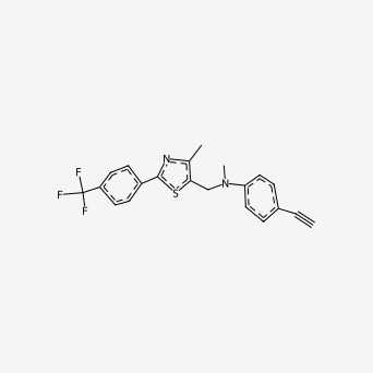 C#Cc1ccc(N(C)Cc2sc(-c3ccc(C(F)(F)F)cc3)nc2C)cc1